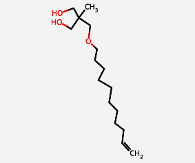 C=CCCCCCCCCCOCC(C)(CO)CO